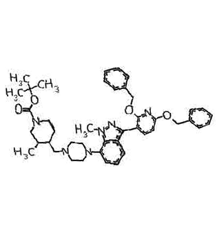 C[C@H]1CN(C(=O)OC(C)(C)C)CC[C@H]1CN1CCN(c2cccc3c(-c4ccc(OCc5ccccc5)nc4OCc4ccccc4)nn(C)c23)CC1